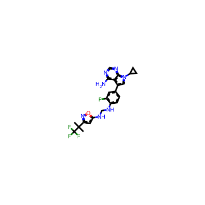 CC(C)(c1cc(NCNc2ccc(-c3cn(C4CC4)c4ncnc(N)c34)cc2F)on1)C(F)(F)F